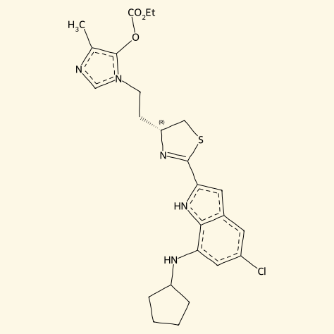 CCOC(=O)Oc1c(C)ncn1CC[C@@H]1CSC(c2cc3cc(Cl)cc(NC4CCCC4)c3[nH]2)=N1